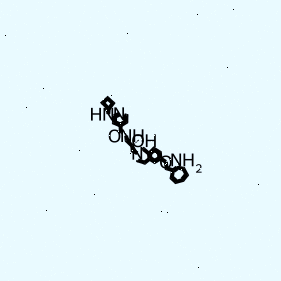 NC1=C(COc2ccc3c(c2)CCN(C[C@@H](O)CNC(=O)c2ccnc(NC4CCC4)c2)C3)C=CC=CC1